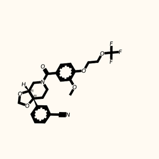 COc1cc(C(=O)N2CC[C@]3(c4cccc(C#N)c4)OCO[C@@H]3C2)ccc1OCCOC(F)(F)F